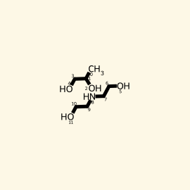 CC(O)CO.OCCNCCO